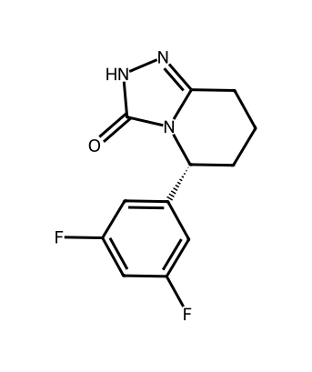 O=c1[nH]nc2n1[C@@H](c1cc(F)cc(F)c1)CCC2